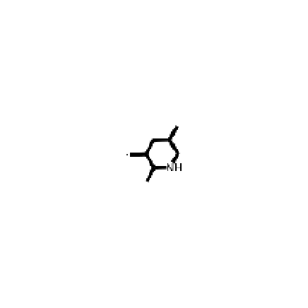 [CH2]C1CC(C)CNC1C